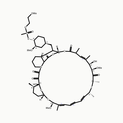 COCCOP(C)(=O)O[C@@H]1CC[C@@H](CC2[C@H]3CCCN4C(=O)C(=O)[C@]5(O)O[C@@H](CC[C@H]5C)C[C@H](OC)/C(C)=C/C=C/C=C/[C@@H](C)C[C@@H](C)C(=O)[C@H](OC)[C@H](O)/C(C)=C/C(C)C(=O)C[C@@H]2OC(=O)C34)C[C@H]1OC